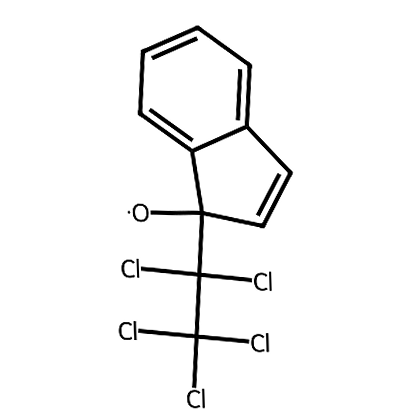 [O]C1(C(Cl)(Cl)C(Cl)(Cl)Cl)C=Cc2ccccc21